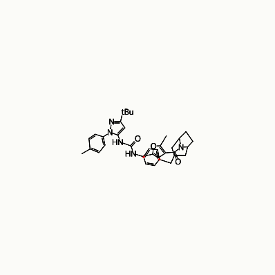 Cc1ccc(-n2nc(C(C)(C)C)cc2NC(=O)Nc2ccc(CC3CC4CCC(C3)N4C(=O)c3cc(C)oc3C)cc2)cc1